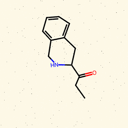 CCC(=O)C1Cc2ccccc2CN1